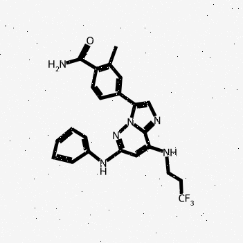 Cc1cc(-c2cnc3c(NCCC(F)(F)F)cc(Nc4ccccc4)nn23)ccc1C(N)=O